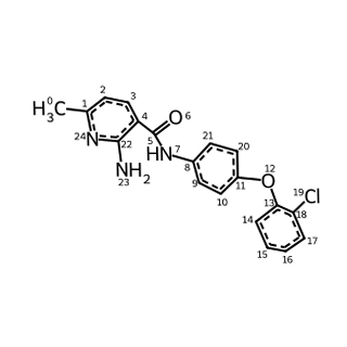 Cc1ccc(C(=O)Nc2ccc(Oc3ccccc3Cl)cc2)c(N)n1